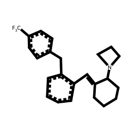 FC(F)(F)c1ccc(Cc2ccccc2C=C2CCCCC2N2CCC2)cc1